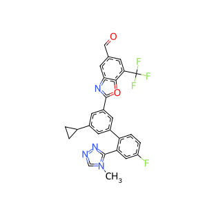 Cn1cnnc1-c1cc(F)ccc1-c1cc(-c2nc3cc(C=O)cc(C(F)(F)F)c3o2)cc(C2CC2)c1